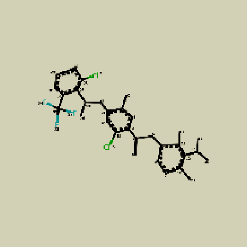 Cc1cc(C(C)Cc2ccc(C)c(C(C)C)c2C)c(Cl)cc1CC(C)c1c(Cl)cccc1C(F)(F)F